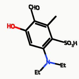 CCN(CC)c1cc(O)c(C=O)c(C)c1S(=O)(=O)O